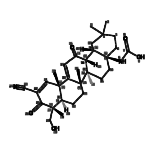 CC1(C)CC[C@]2(NC(=O)O)CC[C@]3(C)[C@H](C(=O)C=C4[C@@]5(C)C=C(C#N)C(=O)[C@@](C)(CO)[C@@H]5CC[C@]43C)[C@@H]2C1